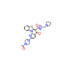 CC(=O)N1CCN(c2ccc3c(=O)c(C(=O)NCCN4CCCC4)c4sc5ccccc5n4c3n2)CC1